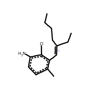 CCCC/C(=C\c1c(C)ccc(N)c1Cl)CC